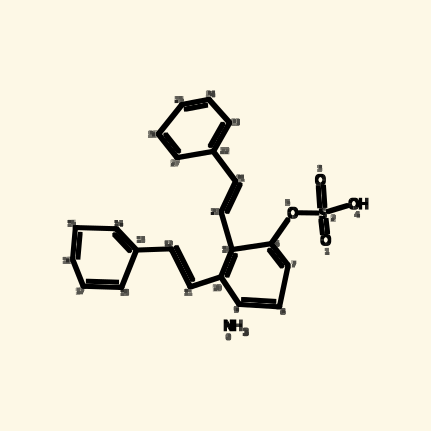 N.O=S(=O)(O)Oc1cccc(/C=C/c2ccccc2)c1/C=C/c1ccccc1